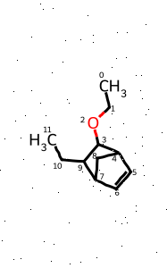 CCOC1C2C=CC(C2)C1CC